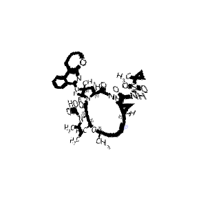 CCC(C)N(C(=O)O)[C@@H]1C(=O)N2[C@@H](C[C@@](C)(Oc3nc4c(c5ccccc35)CCCO4)C2(F)F)C(=O)NC2(C(=O)NS(=O)(=O)C3(C)CC3)C[C@H]2/C=C\CC[C@@H](C)O[C@H]1C